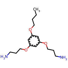 CCCCOc1cc(OCCCN)cc(OCCCN)c1